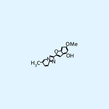 COc1cc(O)c2cc(-c3cn4cc(C)ccc4n3)oc2c1